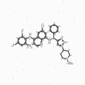 CC(C)(C)N1CCC(n2cc([C@@H](Nc3cc(Cl)cc4c(Nc5c(F)cc(F)cc5F)c(C#N)cnc34)c3ccccc3)nn2)CC1